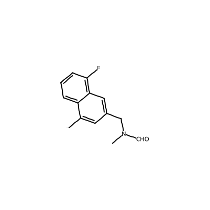 [CH2]c1cc(CN(C)C=O)cc2c(F)cccc12